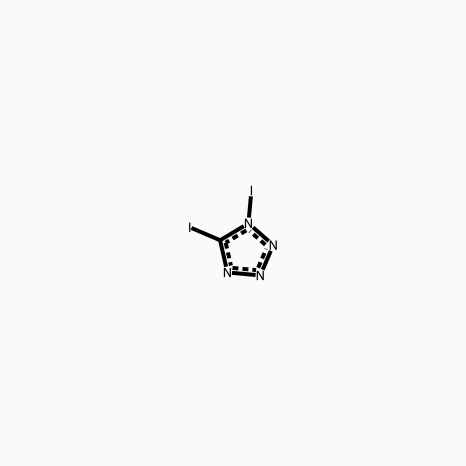 Ic1nnnn1I